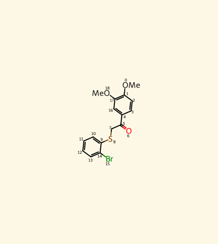 COc1ccc(C(=O)CSc2ccccc2Br)cc1OC